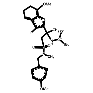 COC1=c2sc(C(C)(CS(=O)(=O)N(C)Cc3ccc(OC)cc3)N[S+]([O-])C(C)(C)C)c(F)c2=CCC1